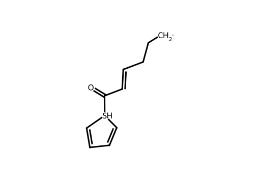 [CH2]CCC=CC(=O)[SH]1C=CC=C1